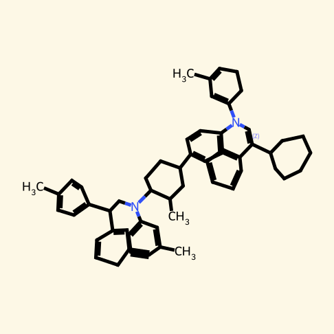 CC1=CCCC(N(/C=C(\c2ccccc2)C2CCCCCC2)c2ccc(C3CCC(N(CC(C4=CCCC=C4)c4ccc(C)cc4)c4cc#cc(C)c4)C(C)C3)cc2)=C1